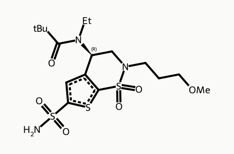 CCN(C(=O)C(C)(C)C)[C@H]1CN(CCCOC)S(=O)(=O)c2sc(S(N)(=O)=O)cc21